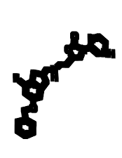 O=C1OC(CCNCC2Cc3cc(OCc4ccccc4)cc(F)c3C2)CN1C1=CNCC=N1